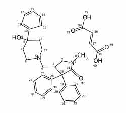 CN1CC(CN2CCC(O)(c3ccccc3)CC2)C(c2ccccc2)(c2ccccc2)C1=O.O=C(O)/C=C/C(=O)O